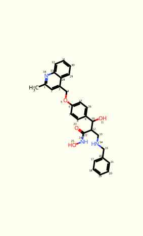 Cc1cc(COc2ccc(C(O)C(CNCc3ccccc3)C(=O)NO)cc2)c2ccccc2n1